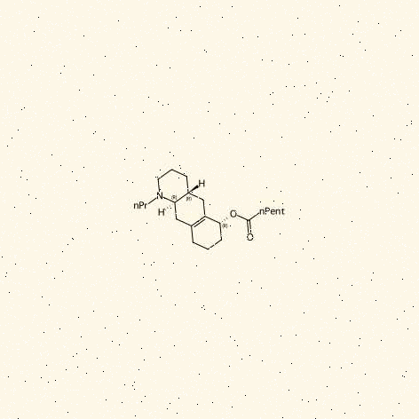 CCCCCC(=O)O[C@@H]1CCCC2=C1C[C@H]1CCCN(CCC)[C@@H]1C2